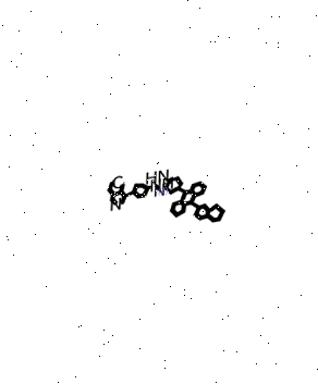 N=C1C=CC(c2c3ccccc3c(-c3ccc4ccccc4c3)c3ccccc23)=C/C1=N/Nc1ccc(-c2cncc3ccccc23)cc1